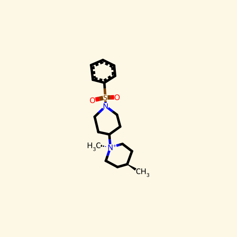 C[C@H]1CC[N@@+](C)(C2CCN(S(=O)(=O)c3ccccc3)CC2)CC1